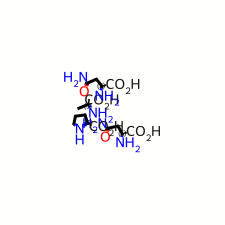 C[C@H](N)C(=O)O.NC(=O)C[C@H](N)C(=O)O.NC(=O)C[C@H](N)C(=O)O.O=C(O)[C@@H]1CCCN1